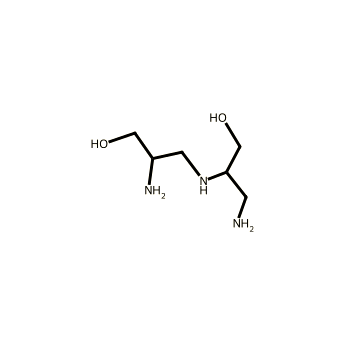 NCC(CO)NCC(N)CO